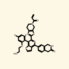 C=CC(=O)N1CCc2nc(-c3nc(-c4ccc5c(c4)CNC(=O)C5)c4ccsc4c3-c3c(F)cc(F)cc3OCCO)sc2C1